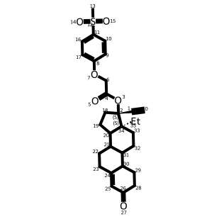 C#C[C@]1(OC(=O)COc2ccc(S(C)(=O)=O)cc2)CCC2C3CCC4=CC(=O)CCC4C3CC[C@@]21CC